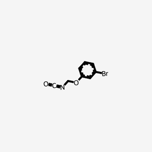 O=C=NCOc1cccc(Br)c1